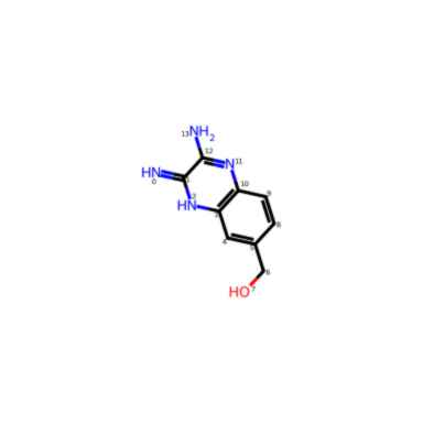 N=c1[nH]c2cc(CO)ccc2nc1N